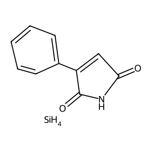 O=C1C=C(c2ccccc2)C(=O)N1.[SiH4]